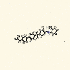 CCC(CC)(c1ccc(/C=C/C2CSCCC2O)c(C)c1)c1ccc(-c2ccc(CC(C)=O)cc2)c(C)c1